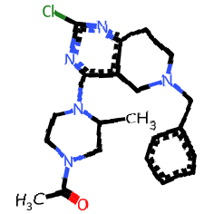 CC(=O)N1CCN(c2nc(Cl)nc3c2CN(Cc2ccccc2)CC3)C(C)C1